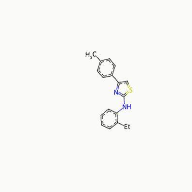 CCc1ccccc1Nc1nc(-c2ccc(C)cc2)cs1